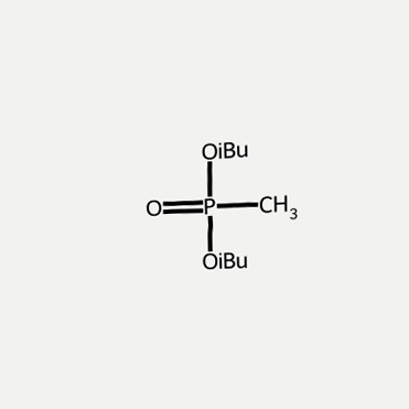 CC(C)COP(C)(=O)OCC(C)C